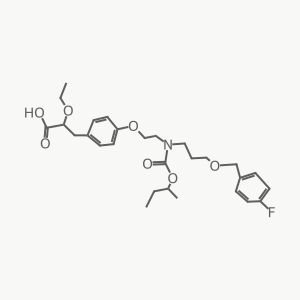 CCOC(Cc1ccc(OCCN(CCCOCc2ccc(F)cc2)C(=O)OC(C)CC)cc1)C(=O)O